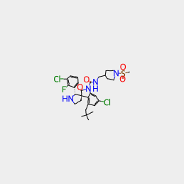 CC(C)(C)Cc1cc(Cl)cc2c1[C@@]1(CCN[C@@H]1c1cccc(Cl)c1F)C(=O)N2C(=O)NCC1CCN(S(C)(=O)=O)CC1